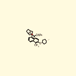 COC(=O)C1CC2CCC(C1)N2Cc1cccc2c(C(F)(F)F)c(O[C@H]3CC[C@@H](C)CC3)ccc12